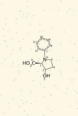 O=C(O)[C@@H]1C(O)CCN1c1ccccc1